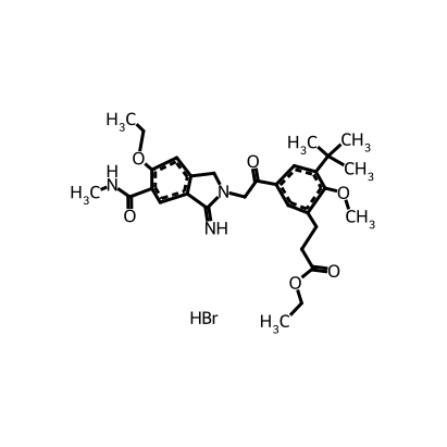 Br.CCOC(=O)CCc1cc(C(=O)CN2Cc3cc(OCC)c(C(=O)NC)cc3C2=N)cc(C(C)(C)C)c1OC